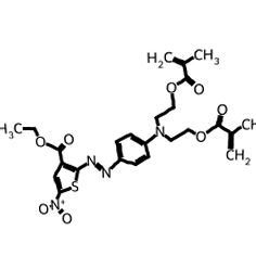 C=C(C)C(=O)OCCN(CCOC(=O)C(=C)C)c1ccc(/N=N/c2sc([N+](=O)[O-])cc2C(=O)OCC)cc1